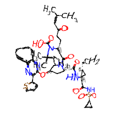 C=C[C@@H]1C[C@]1(NC(=O)[C@@H]1C[C@@H](Oc2nc3ccccc3nc2-c2cccs2)CN1C(=O)[C@H](CCC(=O)C=C(C)C)N(C(=O)O)C(C)(C)C)C(=O)NS(=O)(=O)C1CC1